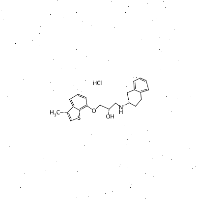 Cc1csc2c(OCC(O)CNC3CCc4ccccc4C3)cccc12.Cl